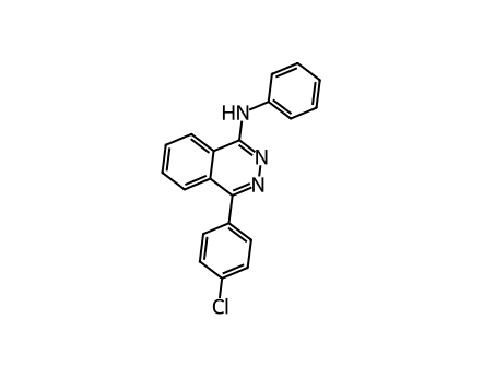 Clc1ccc(-c2nnc(Nc3ccccc3)c3ccccc23)cc1